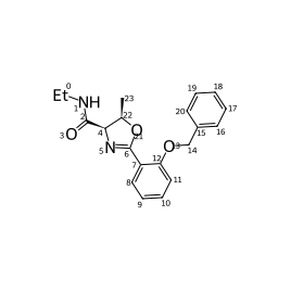 CCNC(=O)[C@@H]1N=C(c2ccccc2OCc2ccccc2)O[C@@H]1C